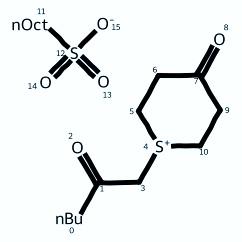 CCCCC(=O)C[S+]1CCC(=O)CC1.CCCCCCCCS(=O)(=O)[O-]